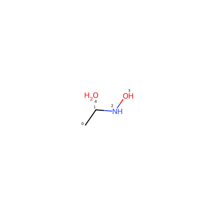 CCNO.O